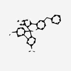 CCN(CC)c1ccc2c(c1)-c1cc(N(CC)CC)ccc1C21Oc2ccc(Cc3ccccc3)cc2-c2[nH]c3ccccc3c21